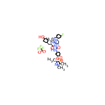 Cc1nn(C)c(C)c1S(=O)(=O)Oc1ccc(NC(=O)N(C(=O)[C@@H](N)Cc2ccc(O)cc2)[C@H]2CCC[N+](C)(Cc3ccc(F)cc3)C2)cc1.O=C([O-])C(F)(F)F